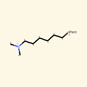 CCCCCCCCCCCN(C)C